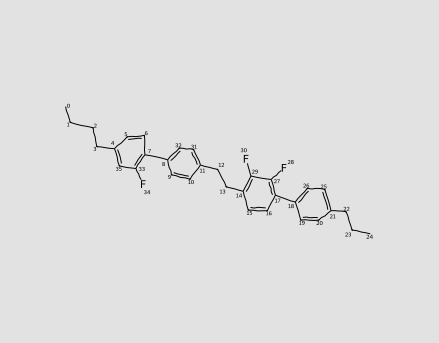 CCCCc1ccc(-c2ccc(CCc3ccc(-c4ccc(CCC)cc4)c(F)c3F)cc2)c(F)c1